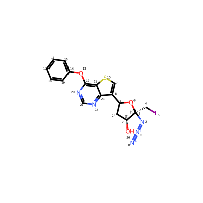 [N-]=[N+]=N[C@]1(CI)OC(c2csc3c(Oc4ccccc4)ncnc23)C[C@@H]1O